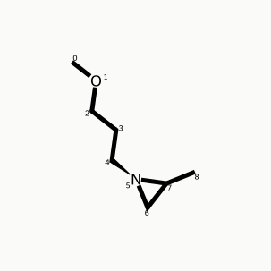 COCCC[N@]1CC1C